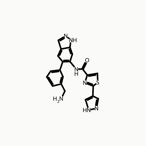 NCc1cccc(-c2cc3cn[nH]c3cc2NC(=O)c2csc(-c3cn[nH]c3)n2)c1